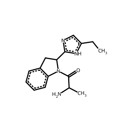 CCc1cnc(C2Cc3ccccc3N2C(=O)C(C)N)[nH]1